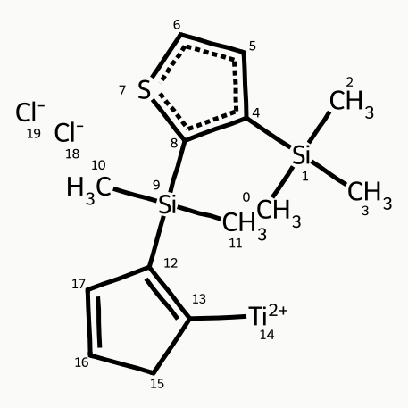 C[Si](C)(C)c1ccsc1[Si](C)(C)C1=[C]([Ti+2])CC=C1.[Cl-].[Cl-]